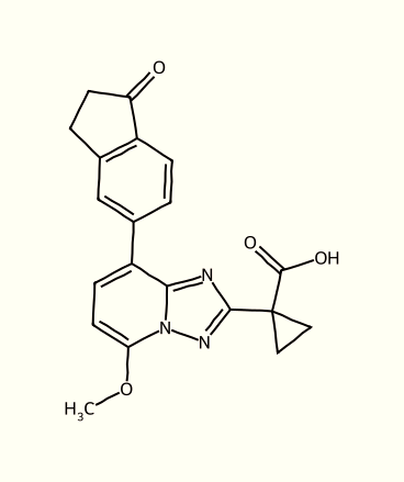 COc1ccc(-c2ccc3c(c2)CCC3=O)c2nc(C3(C(=O)O)CC3)nn12